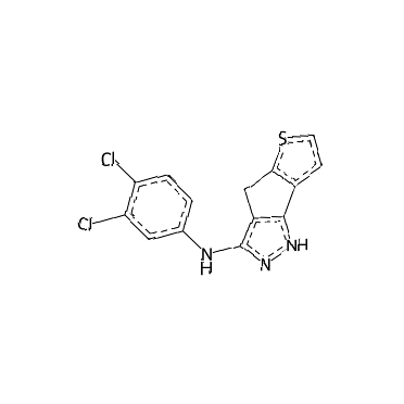 Clc1ccc(Nc2n[nH]c3c2Cc2sccc2-3)cc1Cl